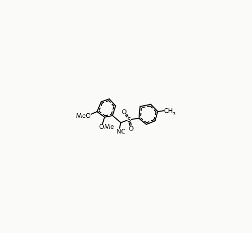 [C-]#[N+]C(c1cccc(OC)c1OC)S(=O)(=O)c1ccc(C)cc1